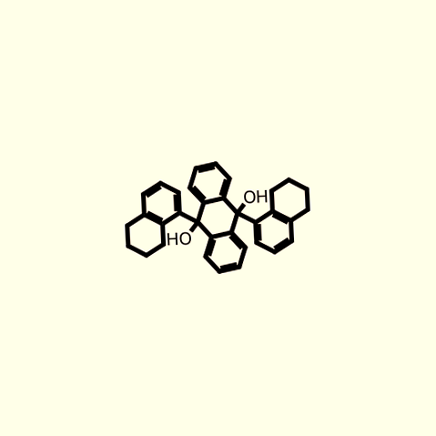 OC1(c2cccc3c2CCCC3)c2ccccc2C(O)(c2cccc3c2CCCC3)c2ccccc21